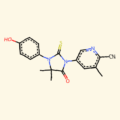 Cc1cc(N2C(=O)C(C)(C)N(c3ccc(O)cc3)C2=S)cnc1C#N